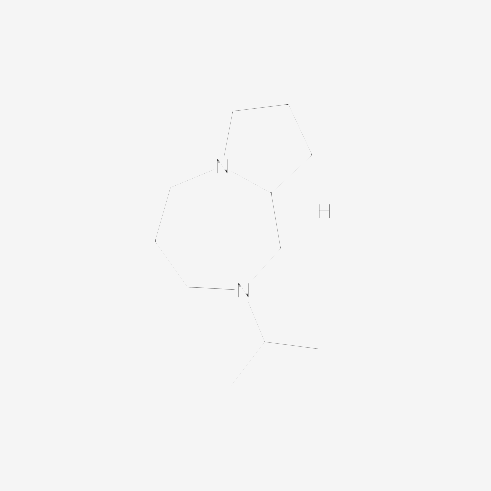 CC(C)N1CCCN2CCC[C@H]2[C@@H]1C